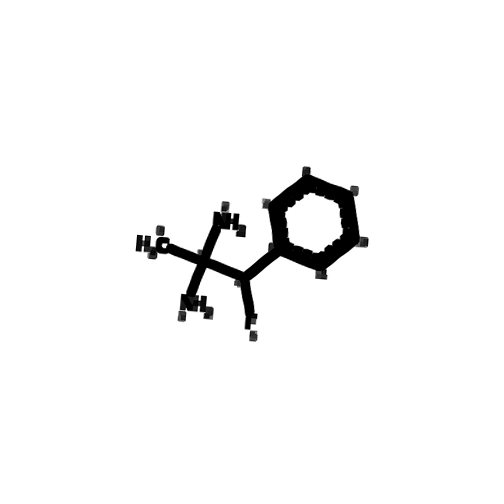 CC(N)(N)C(F)c1ccccc1